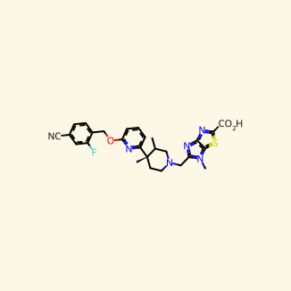 CC1CN(Cc2nc3nc(C(=O)O)sc3n2C)CC[C@]1(C)c1cccc(OCc2ccc(C#N)cc2F)n1